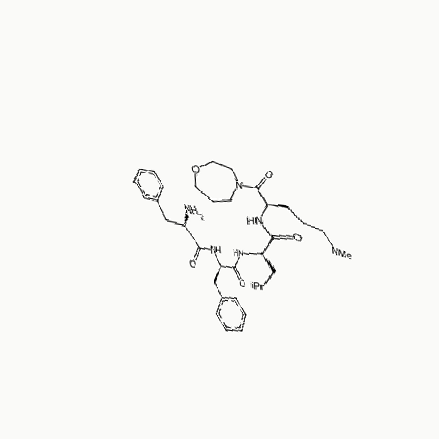 CNCCC[C@@H](NC(=O)[C@@H](CC(C)C)NC(=O)[C@@H](Cc1ccccc1)NC(=O)[C@H](N)Cc1ccccc1)C(=O)N1CCCOCC1